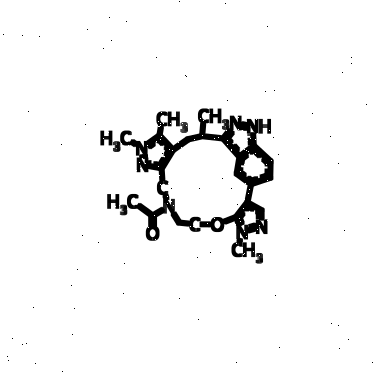 CC(=O)N1CCOc2c(cnn2C)-c2ccc3[nH]nc(c3c2)C(C)Cc2c(nn(C)c2C)C1